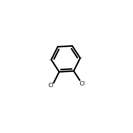 Clc1[c]cc[c]c1Cl